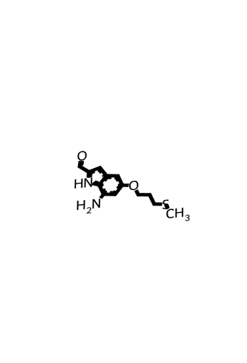 CSCCCOc1cc(N)c2[nH]c(C=O)cc2c1